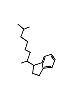 CC(C)CCCCC(C)C1CCc2ccccc21